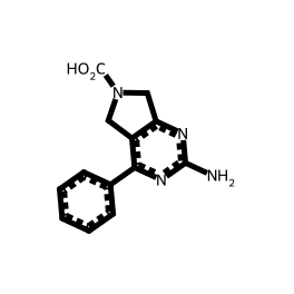 Nc1nc2c(c(-c3ccccc3)n1)CN(C(=O)O)C2